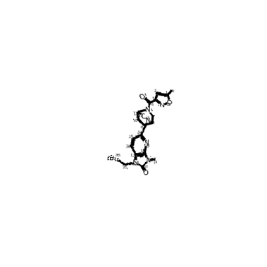 Cc1cc(C(=O)N2CC3CCC2CN3c2ccc3c(n2)n(C)c(=O)n3CC(C)(C)C)no1